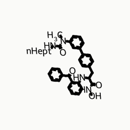 CCCCCCCNC(=O)N(C)c1cccc(-c2ccc(CC(Nc3ccccc3C(=O)c3ccccc3)C(=O)NO)cc2)c1